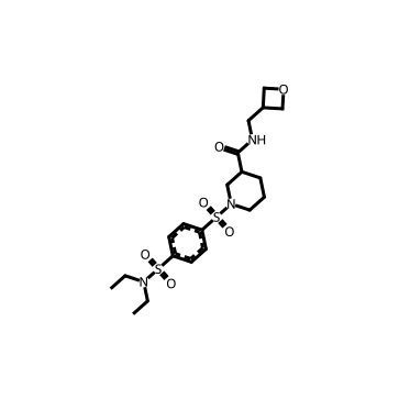 CCN(CC)S(=O)(=O)c1ccc(S(=O)(=O)N2CCCC(C(=O)NCC3COC3)C2)cc1